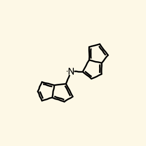 C1=CC2=CC=C([N]C3=CC=C4C=CC=C43)C2=C1